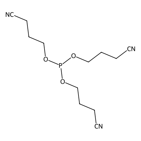 N#CCCCOP(OCCCC#N)OCCCC#N